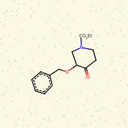 CCOC(=O)N1CCC(=O)C(OCc2ccccc2)C1